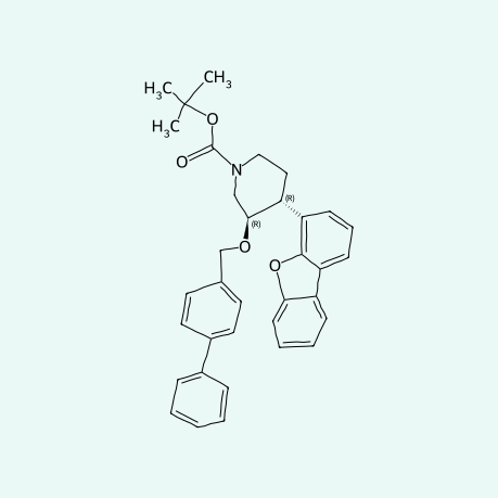 CC(C)(C)OC(=O)N1CC[C@H](c2cccc3c2oc2ccccc23)[C@@H](OCc2ccc(-c3ccccc3)cc2)C1